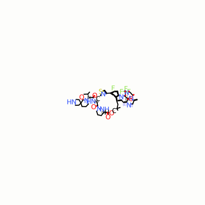 C=C(/C=N\C(=C\c1c2c3cc(c(F)cc3n1CC(F)(F)F)-c1csc(n1)C[C@H](NC(=O)[C@H](C(C)C)N1CCCC3(CCNCC3)C1=O)C(=O)N1CCC[C@H](N1)C(=O)OCC(C)(C)C2)[C@H](C)OC)N1CCN(C)CC1